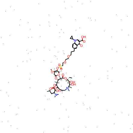 CC[C@H]1OC(=O)[C@H](C)[C@@H](O[C@H]2C[C@@](C)(OC)[C@@H](OS(=O)(=O)CCOCCOCCCc3ccc4c(c3)c(=O)c(C(=O)O)cn4C3CC3)[C@H](C)O2)[C@H](C)[C@@H](O[C@@H]2O[C@H](C)C[C@H](N(C)C)[C@H]2O)[C@](C)(O)C[C@@H](C)CN(C)[C@H](C)[C@@H](O)[C@]1(C)O